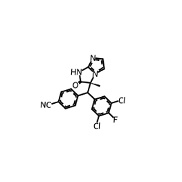 C[C@@]1(C(c2ccc(C#N)cc2)c2cc(Cl)c(F)c(Cl)c2)C(=O)Nc2nccn21